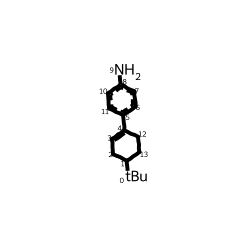 CC(C)(C)C1CC=C(c2ccc(N)cc2)CC1